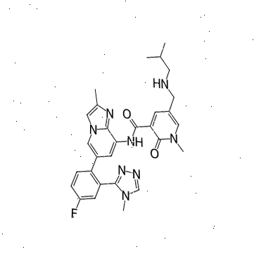 Cc1cn2cc(-c3ccc(F)cc3-c3nncn3C)cc(NC(=O)c3cc(CNCC(C)C)cn(C)c3=O)c2n1